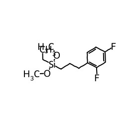 CC[Si](CCCc1ccc(F)cc1F)(OC)OC